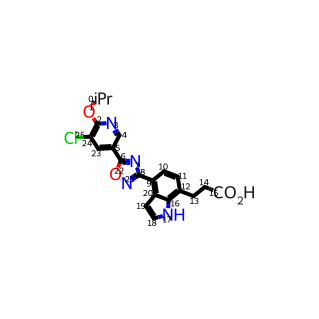 CC(C)Oc1ncc(-c2nc(-c3ccc(CCC(=O)O)c4[nH]ccc34)no2)cc1Cl